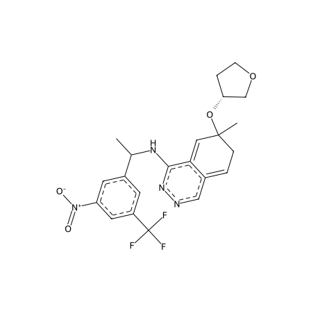 CC(Nc1nncc2c1=CC(C)(O[C@@H]1CCOC1)CC=2)c1cc([N+](=O)[O-])cc(C(F)(F)F)c1